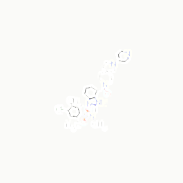 Cc1cc(S(=O)(=O)N(C)Cc2nc3cccc(C(=O)N4CCC5(CC4)CCN(c4ccncc4)C5)c3[nH]2)c(C)cc1Cl